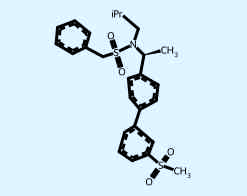 CC(C)CN([C@@H](C)c1ccc(-c2cccc(S(C)(=O)=O)c2)cc1)S(=O)(=O)Cc1ccccc1